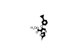 COC(=O)c1c(Oc2cccc(C3CC3)c2)cnc2cc(F)nn12